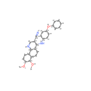 COc1ccc2c(ccc3c(Nc4ccc(Oc5ccccc5)cc4)c(C#N)cnc32)c1OC